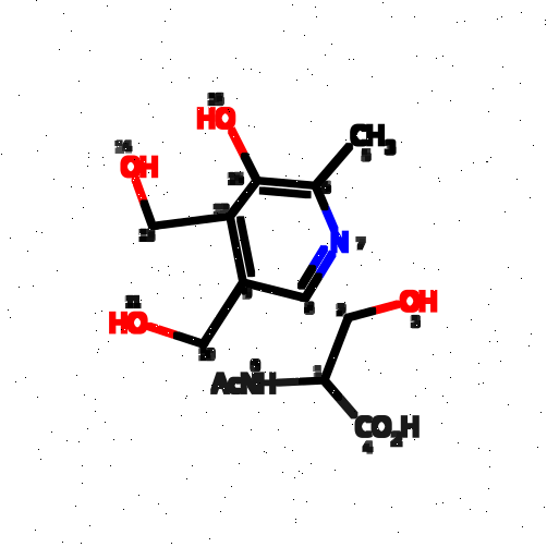 CC(=O)NC(CO)C(=O)O.Cc1ncc(CO)c(CO)c1O